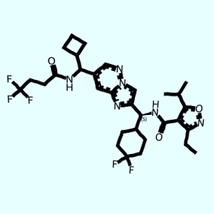 CCc1noc(C(C)C)c1C(=O)N[C@H](c1cn2ncc(C(NC(=O)CCC(F)(F)F)C3CCC3)cc2n1)C1CCC(F)(F)CC1